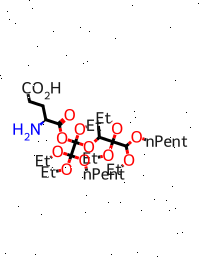 CCCCCOC(OCC)C(OCC)(OCC)C(C)OC(OCC)(OC(=O)[C@@H](N)CCC(=O)O)C(OCC)(OCC)OCCCCC